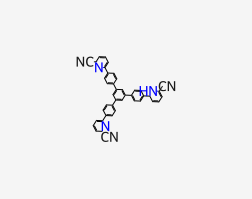 N#CC1=CC=CC(c2ccc(-c3cc(-c4ccc(-c5cccc(C#N)n5)cc4)cc(-c4ccc(-c5cccc(C#N)n5)cc4)c3)cc2)N1